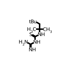 CC(C)(C)CC(C)(C)NC(=S)NC(=N)N